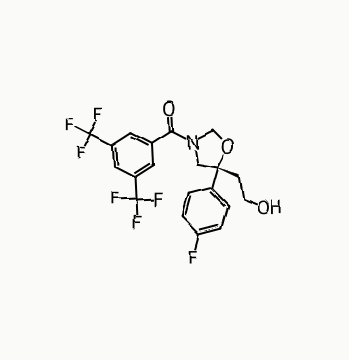 O=C(c1cc(C(F)(F)F)cc(C(F)(F)F)c1)N1CO[C@](CCO)(c2ccc(F)cc2)C1